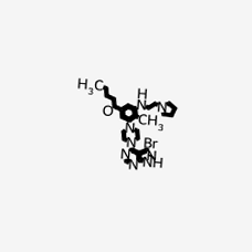 CCCCC(=O)c1cc(NCCN2CCCC2)c(C)c(N2CCN(c3ncnc4[nH]nc(Br)c34)CC2)c1